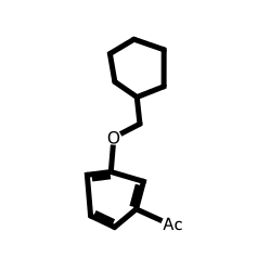 CC(=O)c1cccc(OCC2CCCCC2)c1